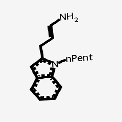 CCCCCn1c(CC=CN)cc2ccccc21